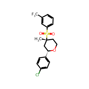 C[C@@]1(S(=O)(=O)c2cccc(C(F)(F)F)c2)CCO[C@H](c2ccc(Cl)cc2)C1